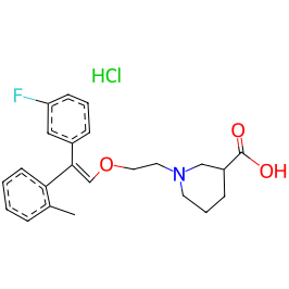 Cc1ccccc1C(=COCCN1CCCC(C(=O)O)C1)c1cccc(F)c1.Cl